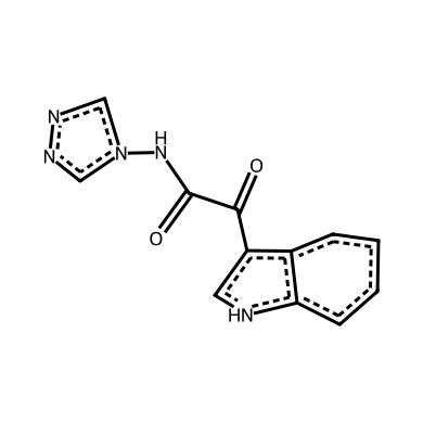 O=C(Nn1cnnc1)C(=O)c1c[nH]c2ccccc12